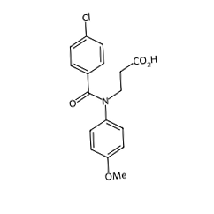 COc1ccc(N(CCC(=O)O)C(=O)c2ccc(Cl)cc2)cc1